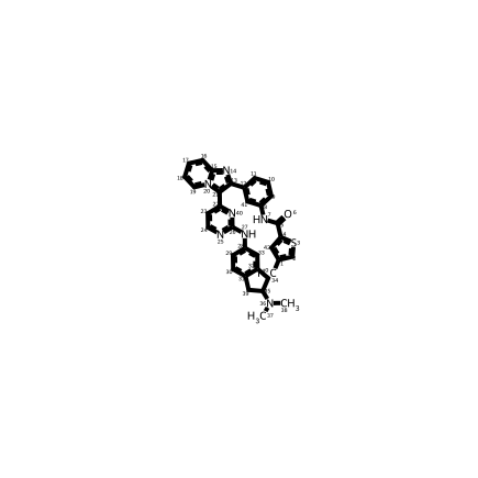 Cc1csc(C(=O)Nc2cccc(-c3nc4ccccn4c3-c3ccnc(Nc4ccc5c(c4)CC(N(C)C)C5)n3)c2)c1